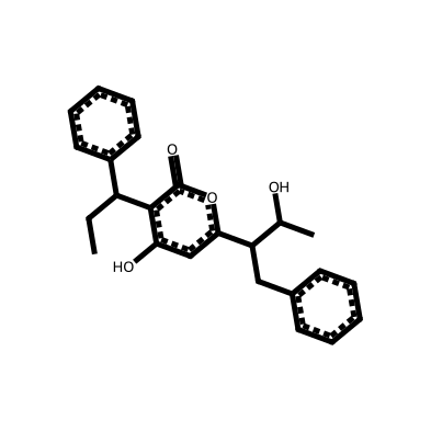 CCC(c1ccccc1)c1c(O)cc(C(Cc2ccccc2)C(C)O)oc1=O